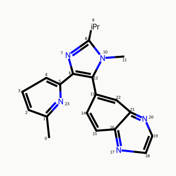 Cc1cccc(-c2nc(C(C)C)n(C)c2-c2ccc3nccnc3c2)n1